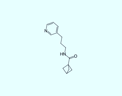 O=C(NCCCc1cccnc1)C12CC(C1)C2